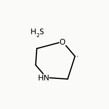 S.[CH]1CNCCO1